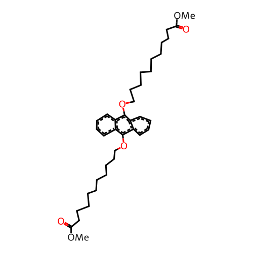 COC(=O)CCCCCCCCCCOc1c2ccccc2c(OCCCCCCCCCCC(=O)OC)c2ccccc12